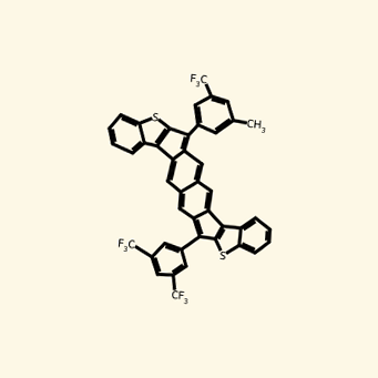 Cc1cc(C2=c3cc4cc5c(cc4cc3-c3c2sc2ccccc32)=C(c2cc(C(F)(F)F)cc(C(F)(F)F)c2)c2sc3ccccc3c2-5)cc(C(F)(F)F)c1